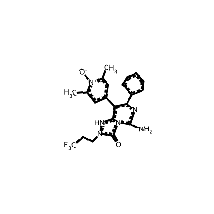 Cc1cc(-c2c(-c3ccccc3)nc(N)[n+]3c(=O)n(CCC(F)(F)F)[nH]c23)cc(C)[n+]1[O-]